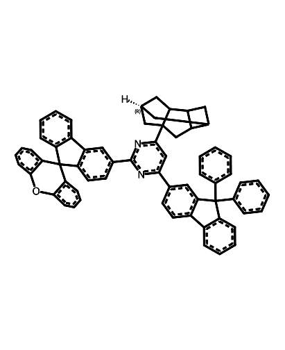 c1ccc(C2(c3ccccc3)c3ccccc3-c3ccc(-c4cc(C56CC7C8CC7C5C[C@@H](C8)C6)nc(-c5ccc6c(c5)-c5ccccc5C65c6ccccc6Oc6ccccc65)n4)cc32)cc1